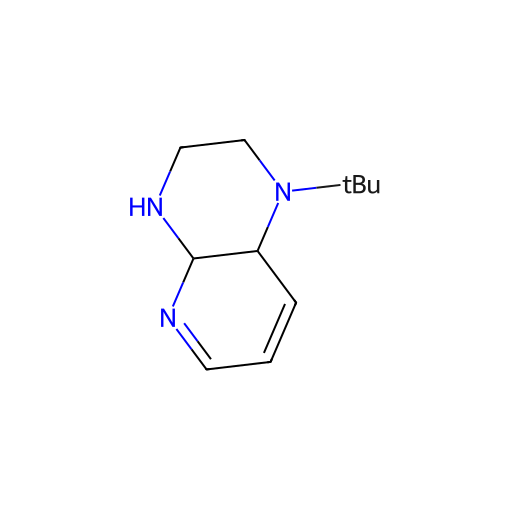 CC(C)(C)N1CCNC2N=CC=CC21